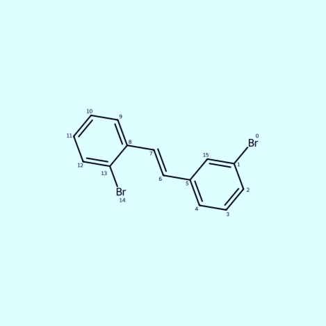 Brc1cccc(C=Cc2ccccc2Br)c1